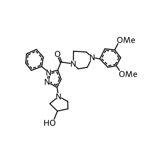 COc1cc(OC)cc(N2CCN(C(=O)c3cc(N4CCC(O)C4)nn3-c3ccccc3)CC2)c1